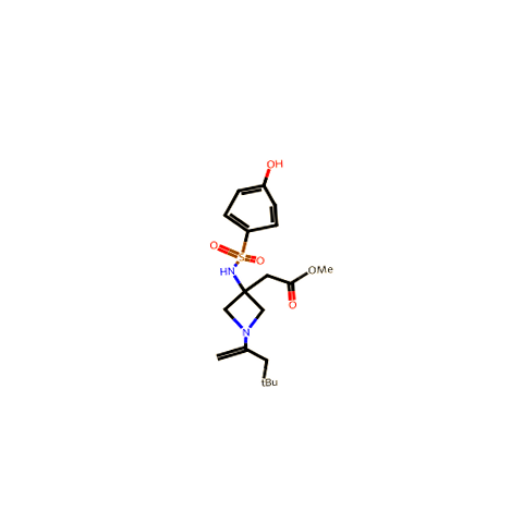 C=C(CC(C)(C)C)N1CC(CC(=O)OC)(NS(=O)(=O)c2ccc(O)cc2)C1